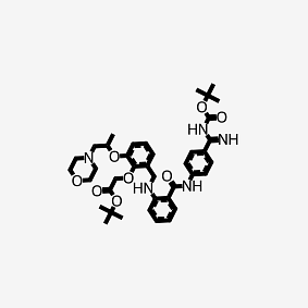 CC(CN1CCOCC1)Oc1cccc(CNc2ccccc2C(=O)Nc2ccc(C(=N)NC(=O)OC(C)(C)C)cc2)c1OCC(=O)OC(C)(C)C